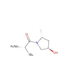 CC(=O)N[C@H](C(=O)N1C[C@H](O)C[C@H]1C)C(C)(C)C